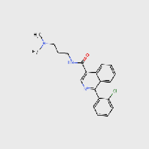 CN(C)CCCNC(=O)c1cnc(-c2ccccc2Cl)c2ccccc12